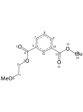 COCCOC(=O)c1cccc(C(=O)OC(C)(C)C)c1